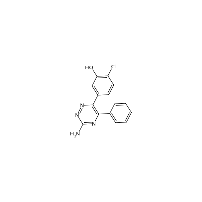 Nc1nnc(-c2ccc(Cl)c(O)c2)c(-c2ccccc2)n1